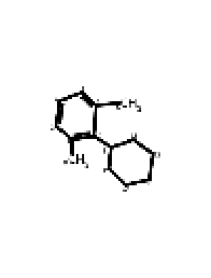 Cc1cccc(C)c1[C]1CCCCC1